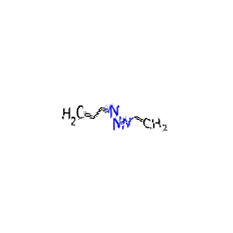 C=C/C=N\N=N/C=C